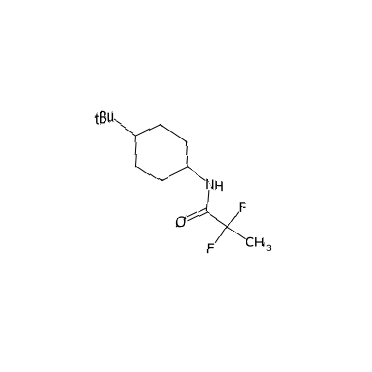 CC(F)(F)C(=O)NC1CCC(C(C)(C)C)CC1